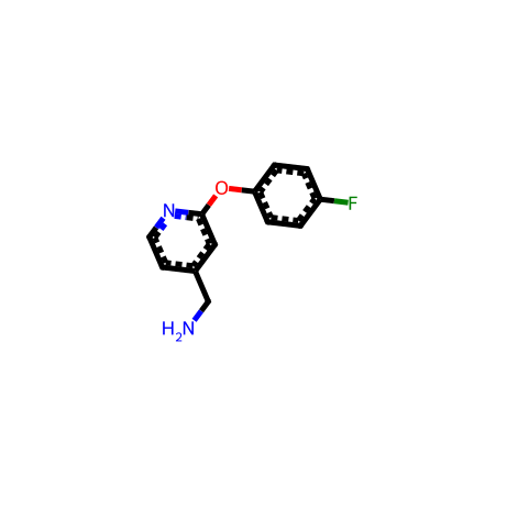 NCc1ccnc(Oc2ccc(F)cc2)c1